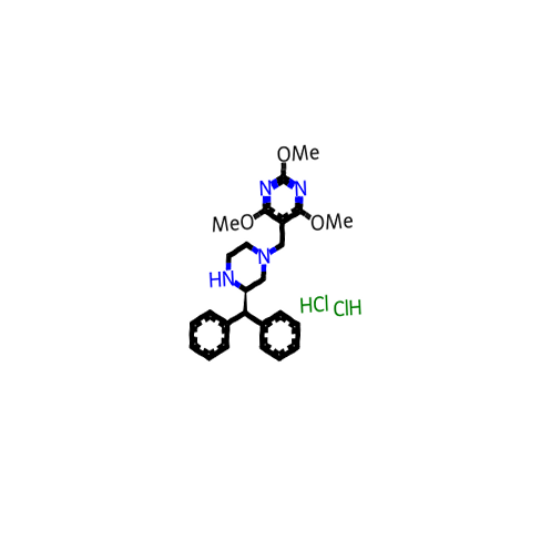 COc1nc(OC)c(CN2CCN[C@H](C(c3ccccc3)c3ccccc3)C2)c(OC)n1.Cl.Cl